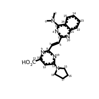 CN(C)c1nc(C=Cc2nc(C(=O)O)cc(N3CCCC3)n2)nc2ccccc12